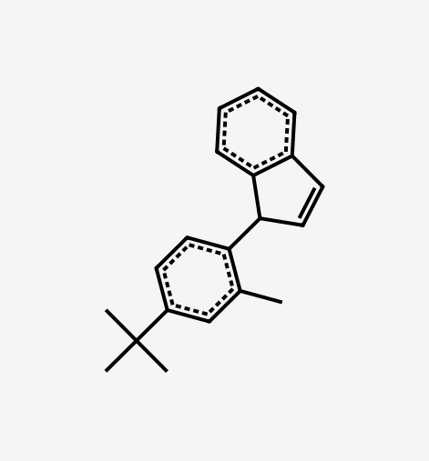 Cc1cc(C(C)(C)C)ccc1C1C=Cc2ccccc21